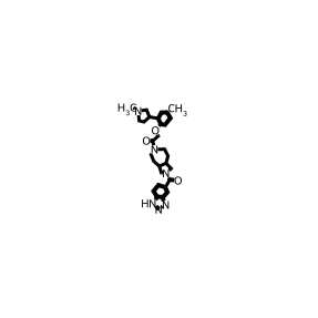 Cc1ccc(OCC(=O)N2CCC3CN(C(=O)c4ccc5[nH]nnc5c4)CC3CC2)c(C2CCN(C)C2)c1